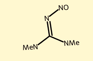 CNC(=NN=O)NC